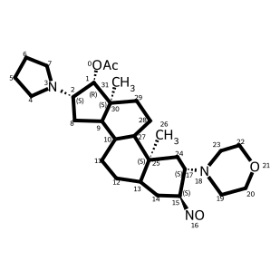 CC(=O)O[C@H]1[C@@H](N2CCCC2)CC2C3CCC4C[C@H](N=O)[C@@H](N5CCOCC5)C[C@]4(C)C3CC[C@@]21C